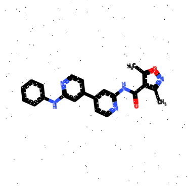 Cc1noc(C)c1C(=O)Nc1cc(-c2ccnc(Nc3ccccc3)c2)ccn1